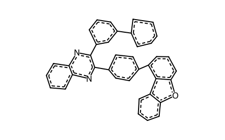 c1ccc(-c2cccc(-c3nc4ccccc4nc3-c3ccc(-c4cccc5oc6ccccc6c45)cc3)c2)cc1